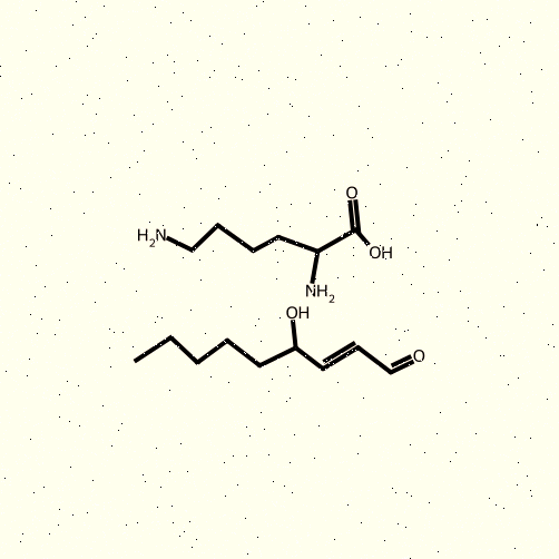 CCCCCC(O)C=CC=O.NCCCCC(N)C(=O)O